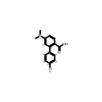 CN(C)c1ccc(C(=O)O)c(-c2ccc(Cl)cc2)c1